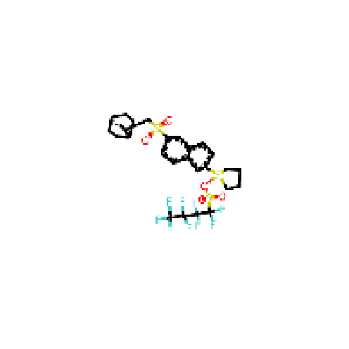 O=S(=O)(CC1CC2CCC1CC2)c1ccc2cc(S3(OS(=O)(=O)C(F)(F)C(F)(F)C(F)(F)C(F)(F)F)CCCC3)ccc2c1